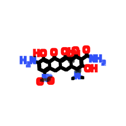 CN(C)[C@@H]1C(O)=C(C(N)=O)C(=O)[C@@]2(O)C(O)=C3C(=O)c4c(O)c(N)cc([N+](=O)[O-])c4CC3CC12